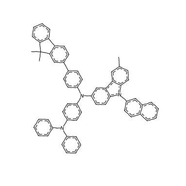 Cc1ccc2c(c1)c1cc(N(c3ccc(-c4ccc5c(c4)C(C)(C)c4ccccc4-5)cc3)c3ccc(N(c4ccccc4)c4ccccc4)cc3)ccc1n2-c1ccc2ccccc2c1